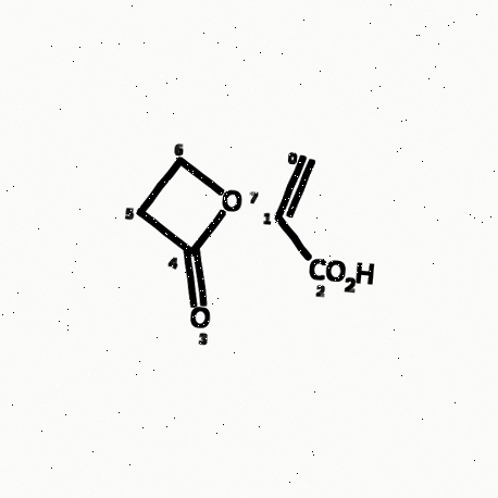 C=CC(=O)O.O=C1CCO1